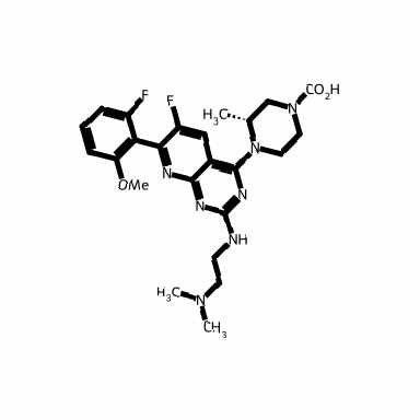 COc1cccc(F)c1-c1nc2nc(NCCN(C)C)nc(N3CCN(C(=O)O)C[C@H]3C)c2cc1F